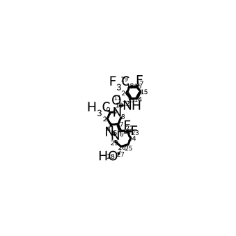 C[C@@H]1Cc2nn3c(c2CN1C(=O)Nc1ccc(F)c(C(F)(F)F)c1)C(F)(F)CC[C@H](CO)C3